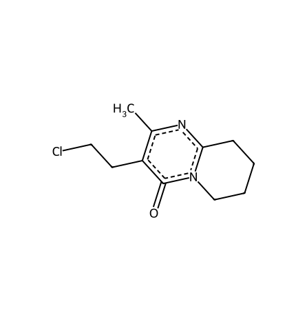 Cc1nc2n(c(=O)c1CCCl)CCCC2